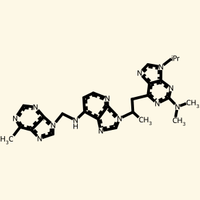 Cc1ncnc2c1ncn2CNc1ccnc2c1ncn2C(C)Cc1nc(N(C)C)nc2c1ncn2C(C)C